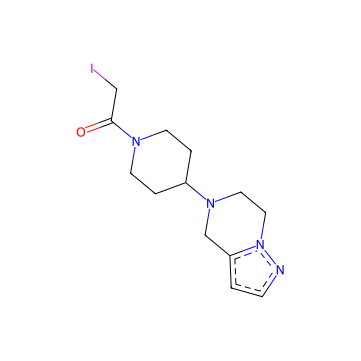 O=C(CI)N1CCC(N2CCn3nccc3C2)CC1